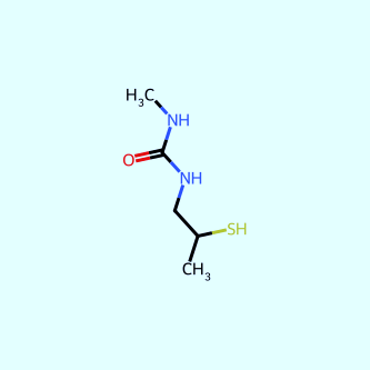 CNC(=O)NCC(C)S